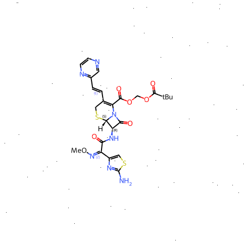 CO/N=C(\C(=O)N[C@@H]1C(=O)N2C(C(=O)OCOC(=O)C(C)(C)C)=C(/C=C/c3cnccn3)CS[C@@H]12)c1csc(N)n1